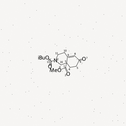 COC(=O)C12CCC(=O)C=C1CCN(C(=O)OCC(C)C)C2